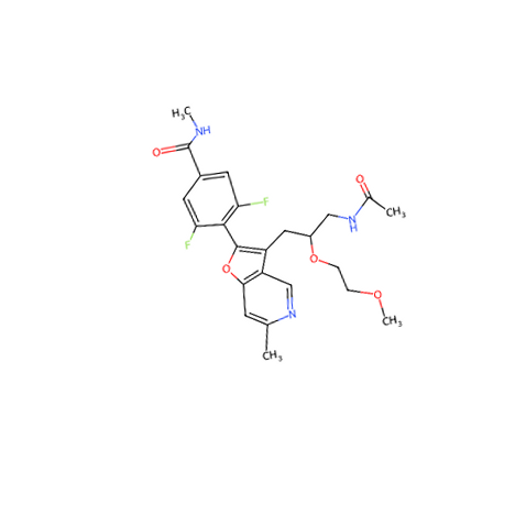 CNC(=O)c1cc(F)c(-c2oc3cc(C)ncc3c2CC(CNC(C)=O)OCCOC)c(F)c1